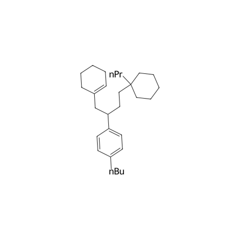 CCCCc1ccc(C(CCC2(CCC)CCCCC2)CC2=CCCCC2)cc1